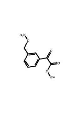 CC(C)(C)OC(=O)C(=O)c1cccc(CO[N+](=O)[O-])c1